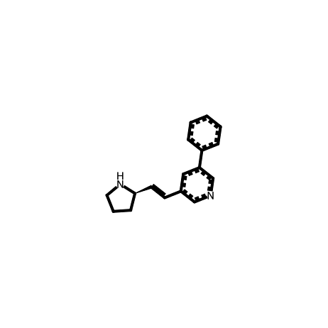 C(=C[C@H]1CCCN1)c1cncc(-c2ccccc2)c1